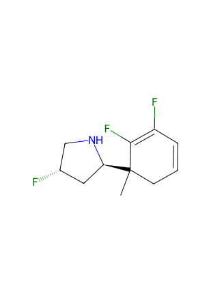 CC1([C@H]2C[C@H](F)CN2)CC=CC(F)=C1F